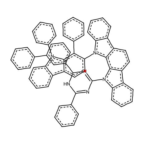 c1ccc(C2=NC(n3c4ccccc4c4ccc5c6ccccc6n(-c6ccc7c8ccccc8n(-c8ccccc8)c7c6-c6ccccc6)c5c43)=NC(c3cccc(-c4ccccc4)c3)N2)cc1